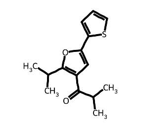 CC(C)C(=O)c1cc(-c2cccs2)oc1C(C)C